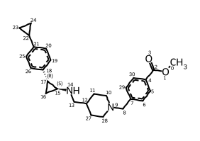 COC(=O)c1ccc(CN2CCC(CN[C@H]3C[C@@H]3c3ccc(C4CC4)cc3)CC2)cc1